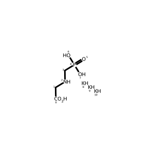 O=C(O)CNCP(=O)(O)O.[KH].[KH].[KH]